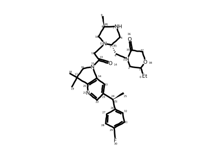 CCC1CN(C[C@H]2CN[C@H](C)CN2CC(=O)N2CC(C)(C)c3ncc([C@@H](C)c4ccc(F)cc4)cc32)C(=O)CO1